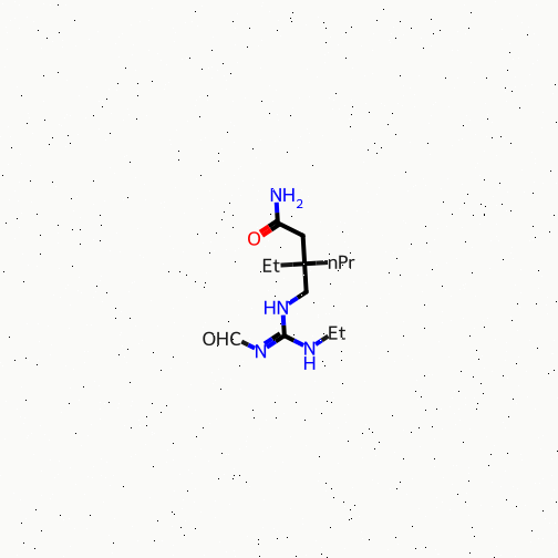 CCCC(CC)(CN/C(=N\C=O)NCC)CC(N)=O